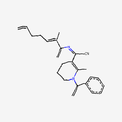 C=CCC/C=C(\C)C(=C)/N=C(/C#N)C1=C(C)N(C(=C)c2ccccc2)CCC1